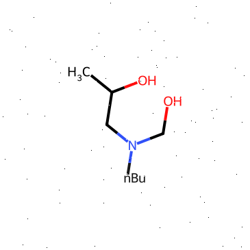 CCCCN(CO)CC(C)O